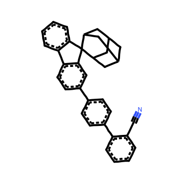 N#Cc1ccccc1-c1ccc(-c2ccc3c(c2)C2(c4ccccc4-3)C3CC4CC(C3)CC2C4)cc1